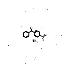 N.O=C(c1ccccc1)c1ccc([N+](=O)[O-])cc1